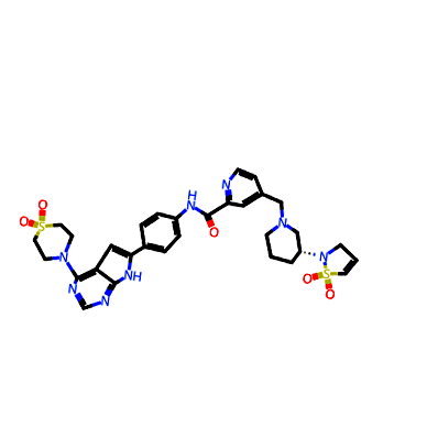 O=C(Nc1ccc(-c2cc3c(N4CCS(=O)(=O)CC4)ncnc3[nH]2)cc1)c1cc(CN2CCC[C@@H](N3CC=CS3(=O)=O)C2)ccn1